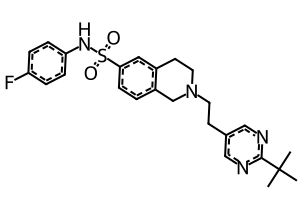 CC(C)(C)c1ncc(CCN2CCc3cc(S(=O)(=O)Nc4ccc(F)cc4)ccc3C2)cn1